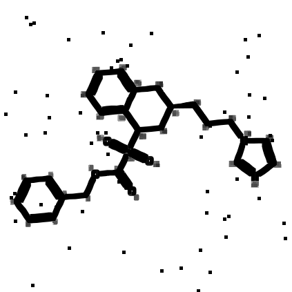 O=C(OCc1ccccc1)S(=O)(=O)C1C[C@H](CCCn2ccnc2)Cc2ccccc21